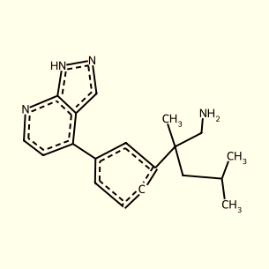 CC(C)CC(C)(CN)c1cccc(-c2ccnc3[nH]ncc23)c1